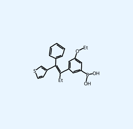 CCOc1cc(B(O)O)cc(/C(CC)=C(\c2ccccc2)c2ccsc2)c1